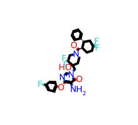 Nc1c(Oc2ccc(F)cc2)ncn(C[C@@]2(O)CCN(C(=O)[C@@H]3CCC(F)(F)C[C@H]3c3ccccc3)CC2(F)F)c1=O